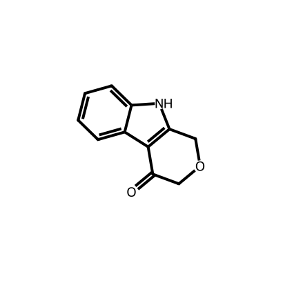 O=C1COCc2[nH]c3ccccc3c21